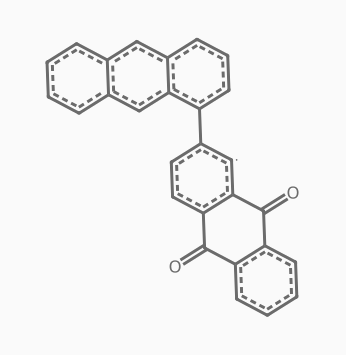 O=C1c2[c]c(-c3cccc4cc5ccccc5cc34)ccc2C(=O)c2ccccc21